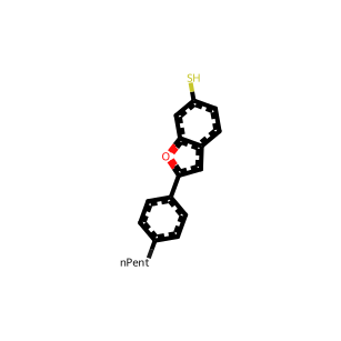 CCCCCc1ccc(-c2cc3ccc(S)cc3o2)cc1